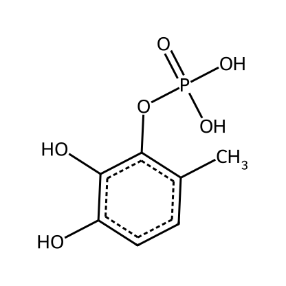 Cc1ccc(O)c(O)c1OP(=O)(O)O